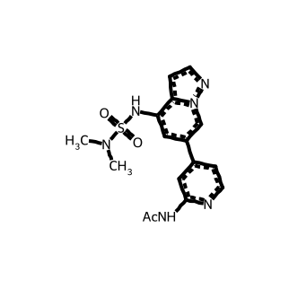 CC(=O)Nc1cc(-c2cc(NS(=O)(=O)N(C)C)c3ccnn3c2)ccn1